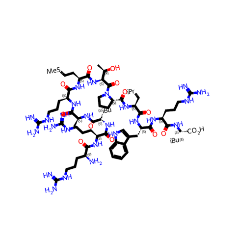 CC[C@H](C)[C@H](NC(=O)[C@H](CCCNC(=N)N)NC(=O)[C@H](Cc1c[nH]c2ccccc12)NC(=O)[C@H](CC(C)C)NC(=O)[C@@H]1CCCN1C(=O)[C@@H](NC(=O)[C@H](CCSC)NC(=O)[C@H](CCCNC(=N)N)NC(=O)[C@H](C)NC(=O)[C@@H](NC(=O)[C@H](CCCNC(=N)N)NC(=O)[C@@H](N)CCCNC(=N)N)[C@@H](C)CC)[C@@H](C)O)C(=O)O